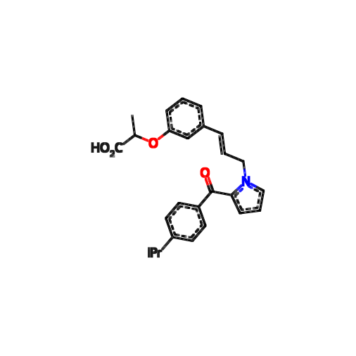 CC(Oc1cccc(/C=C/Cn2cccc2C(=O)c2ccc(C(C)C)cc2)c1)C(=O)O